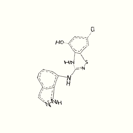 Oc1cc(Cl)cc2c1NC(Nc1cccc3cn[nH]c13)=NS2